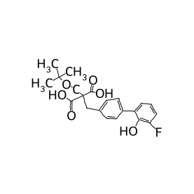 CC(C)(C)OCC(Cc1ccc(-c2cccc(F)c2O)cc1)(C(=O)O)C(=O)O